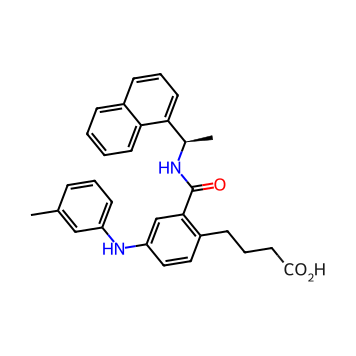 Cc1cccc(Nc2ccc(CCCC(=O)O)c(C(=O)N[C@H](C)c3cccc4ccccc34)c2)c1